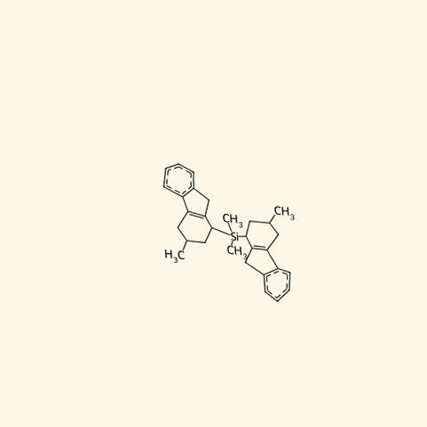 CC1CC2=C(Cc3ccccc32)C([Si](C)(C)C2CC(C)CC3=C2Cc2ccccc23)C1